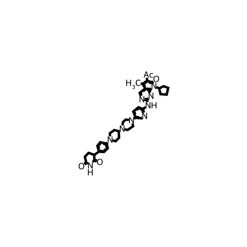 CC(=O)c1c(C)c2cnc(Nc3ccc(N4CCN(C5CCN(c6ccc(C7CCC(=O)NC7=O)cc6)CC5)CC4)cn3)nc2n(C2CCCC2)c1=O